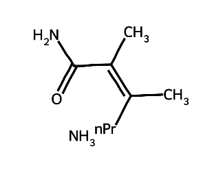 CCCC(C)=C(C)C(N)=O.N